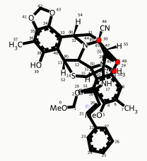 COCOc1c(OC)c(C)cc2c1[C@H]1C3[C@@H]4SC[C@H](NC(=O)/C=C/c5ccccc5)C(=O)OC[C@@H](c5c6c(c(C)c(O)c54)OCO6)N3[C@@H](C#N)[C@H](C2)N1C